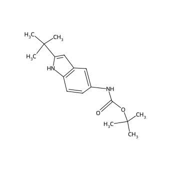 CC(C)(C)OC(=O)Nc1ccc2[nH]c(C(C)(C)C)cc2c1